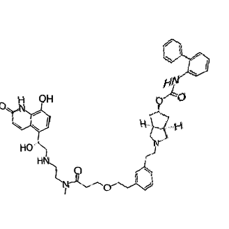 CN(CCNC[C@H](O)c1ccc(O)c2[nH]c(=O)ccc12)C(=O)CCOCCc1cccc(CCN2C[C@H]3C[C@@H](OC(=O)Nc4ccccc4-c4ccccc4)C[C@H]3C2)c1